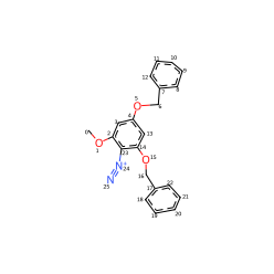 COc1cc(OCc2ccccc2)cc(OCc2ccccc2)c1[N+]#N